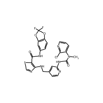 CN(C(=O)Nc1cc(CNc2ncsc2C(=O)Nc2ccc3c(c2)OC(F)(F)O3)ccn1)c1cccnc1Cl